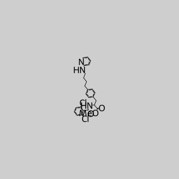 COC(=O)C(Cc1ccc(CCCCNc2ccccn2)cc1)NC(=O)c1c(Cl)cccc1Cl